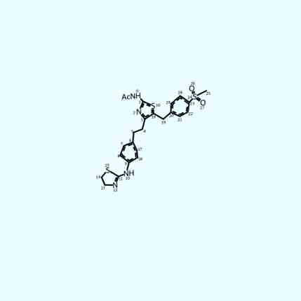 CC(=O)Nc1nc(CCc2ccc(NC3=NCCS3)cc2)c(Cc2ccc(S(C)(=O)=O)cc2)s1